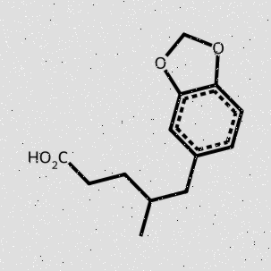 CC(CCC(=O)O)Cc1ccc2c(c1)OCO2